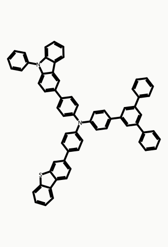 c1ccc(-c2cc(-c3ccccc3)cc(-c3ccc(N(c4ccc(-c5ccc6c(c5)sc5ccccc56)cc4)c4ccc(-c5ccc6c(c5)c5ccccc5n6-c5ccccc5)cc4)cc3)c2)cc1